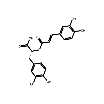 Cc1cc(C[C@@H](OC(=O)/C=C/c2ccc(O)c(O)c2)C(=O)O)ccc1O